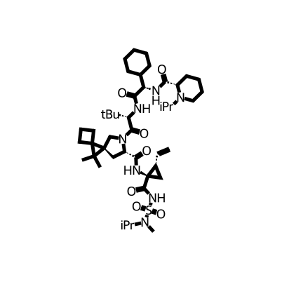 C=C[C@@H]1C[C@]1(NC(=O)[C@@H]1C[C@@]2(CN1C(=O)[C@@H](NC(=O)[C@@H](NC(=O)[C@@H]1CCCCN1C(C)C)C1CCCCC1)C(C)(C)C)C(C)(C)C21CCC1)C(=O)NS(=O)(=O)N(C)C(C)C